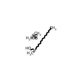 CCCCCCCCCCCCCCCCN(CC)CCO.COS(=O)(=O)OC